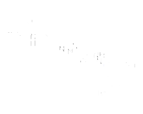 CC(=O)Nc1cccc(-c2cn(CC(=O)N/N=C/c3cc(Br)ccc3O)nn2)c1